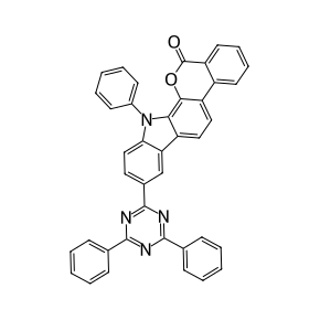 O=c1oc2c(ccc3c4cc(-c5nc(-c6ccccc6)nc(-c6ccccc6)n5)ccc4n(-c4ccccc4)c32)c2ccccc12